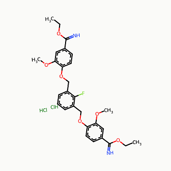 CCOC(=N)c1ccc(OCc2cccc(COc3ccc(C(=N)OCC)cc3OC)c2F)c(OC)c1.Cl.Cl